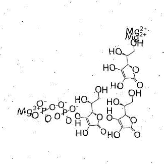 O=C1O[C@H]([C@@H](O)CO)C(O)=C1O.O=C1O[C@H]([C@@H](O)CO)C(O)=C1O.O=C1O[C@H]([C@@H](O)CO)C(O)=C1O.O=P([O-])([O-])[O-].O=P([O-])([O-])[O-].[Mg+2].[Mg+2].[Mg+2]